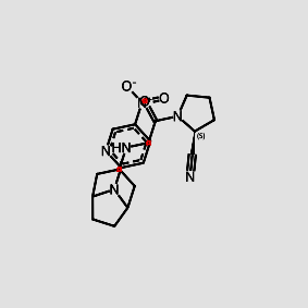 N#C[C@@H]1CCCN1C(=O)CNC1CC2CCC(C1)N2c1ccc([N+](=O)[O-])cn1